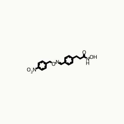 O=C(CCc1ccc(C=NOCc2ccc([N+](=O)[O-])cc2)cc1)NO